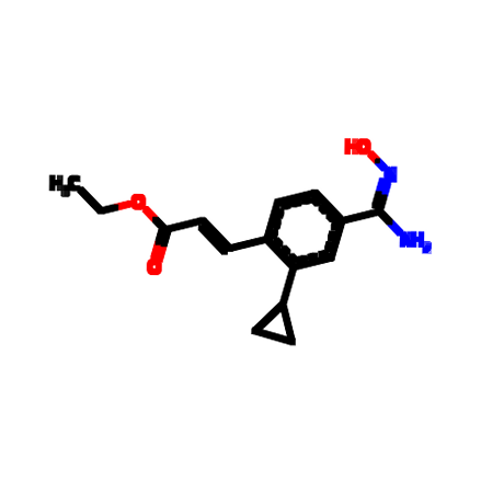 CCOC(=O)/C=C/c1ccc(/C(N)=N\O)cc1C1CC1